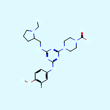 CCN1CCCC1CNc1nc(Nc2ccc(OC)c(F)c2)nc(N2CCN(C(=O)O)CC2)n1